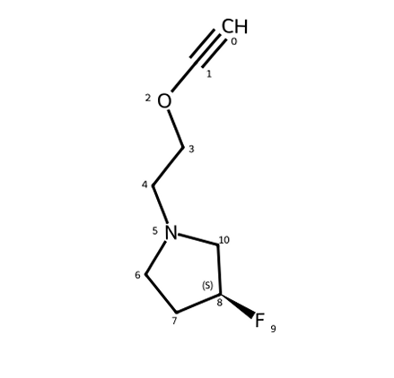 C#COCCN1CC[C@H](F)C1